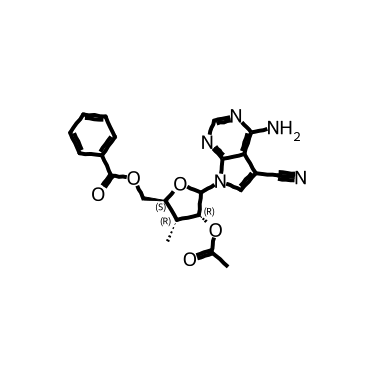 CC(=O)O[C@H]1C(n2cc(C#N)c3c(N)ncnc32)O[C@H](COC(=O)c2ccccc2)[C@H]1C